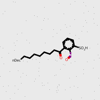 CCCCCCCCCCCCCCCCCC(=O)c1cccc(S(=O)(=O)O)c1I=O